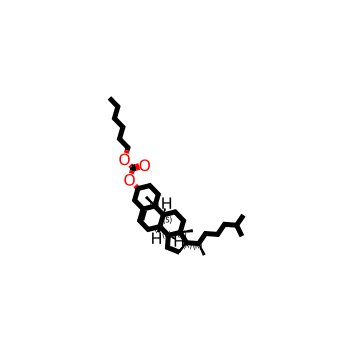 CCCCCCOC(=O)OC1CC[C@@]2(C)C(=CC[C@H]3[C@@H]4CC[C@H]([C@H](C)CCCC(C)C)[C@@]4(C)CC[C@@H]32)C1